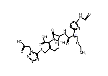 CCO/N=C(\C(=O)NC1C(=O)N2C(C(=O)O)=C(CSc3nnnn3CC(=O)O)CS[C@H]12)c1csc(NC=O)n1